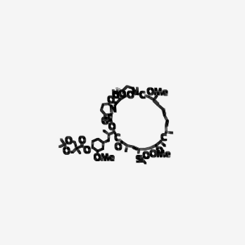 CO[C@H]1C[C@@H]2CC[C@@H](C)[C@@](O)(O2)C(=O)C(=O)N2CCCC[C@H]2C(=O)O[C@H]([C@H](C)C[C@@H]2CC[C@@H](OC(=O)C3(C)COC(C)(C)OC3)[C@H](OC)C2)CC(=O)[C@H](C)/C=C(\C)[C@@H](O[Si](C)(C)C)[C@@H](OC)C(=O)[C@H](C)C[C@H](C)/C=C/C=C/C=C/1C